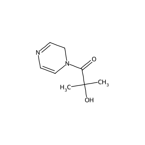 CC(C)(O)C(=O)N1C=CN=CC1